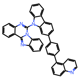 c1cc(-c2ccc(-c3ccc4c5ccccc5n(-c5nc6ccccc6c6nc7ccccc7n56)c4c3)cc2)c2cccnc2c1